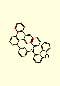 c1ccc(-c2ccccc2-c2c(-c3ccccc3)cccc2-c2cccc(N(c3ccccc3)c3cccc4oc5ccccc5c34)c2)cc1